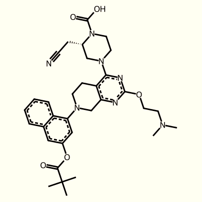 CN(C)CCOc1nc2c(c(N3CCN(C(=O)O)[C@@H](CC#N)C3)n1)CCN(c1cc(OC(=O)C(C)(C)C)cc3ccccc13)C2